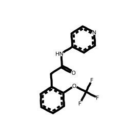 O=C(Cc1ccccc1OC(F)(F)F)Nc1ccncc1